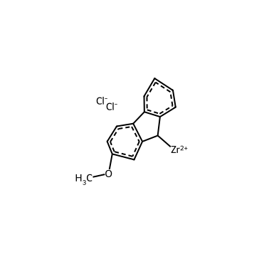 COc1ccc2c(c1)[CH]([Zr+2])c1ccccc1-2.[Cl-].[Cl-]